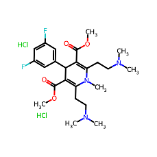 COC(=O)C1=C(CCN(C)C)N(C)C(CCN(C)C)=C(C(=O)OC)C1c1cc(F)cc(F)c1.Cl.Cl